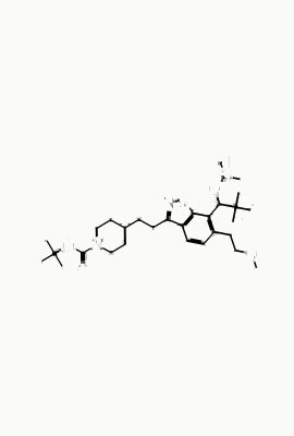 COCCc1ccc2c(CCC3CCN(C(=O)OC(C)(C)C)CC3)noc2c1C(O[SiH](C)C)C(C)(C)C